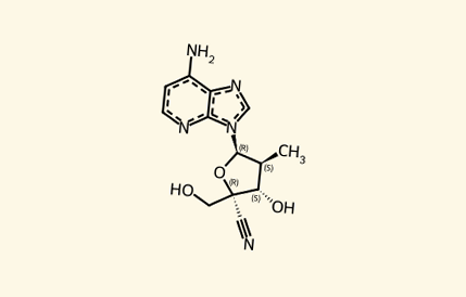 C[C@@H]1[C@H](n2cnc3c(N)ccnc32)O[C@](C#N)(CO)[C@H]1O